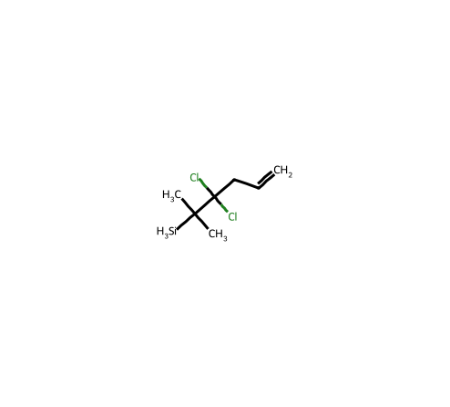 C=CCC(Cl)(Cl)C(C)(C)[SiH3]